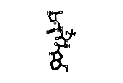 COc1cccc2[nH]c(C(=O)N[C@@H](CC(C)(F)F)C(=O)N[C@H](C#N)C[C@@H]3CCNC3=O)cc12